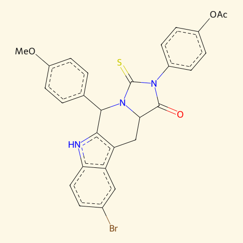 COc1ccc(C2c3[nH]c4ccc(Br)cc4c3CC3C(=O)N(c4ccc(OC(C)=O)cc4)C(=S)N32)cc1